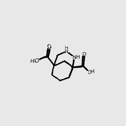 O=C(O)C12CCCC(C(=O)O)(C1)NNC2